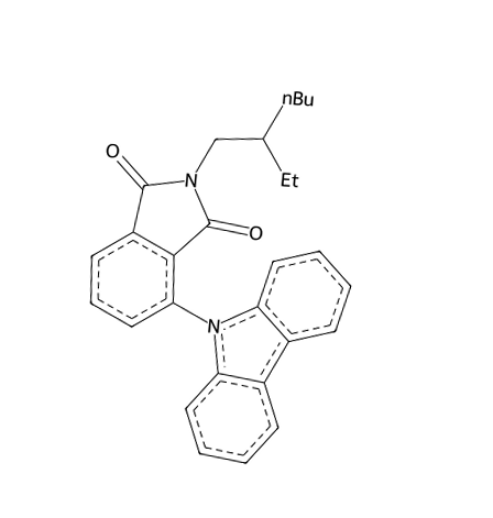 CCCCC(CC)CN1C(=O)c2cccc(-n3c4ccccc4c4ccccc43)c2C1=O